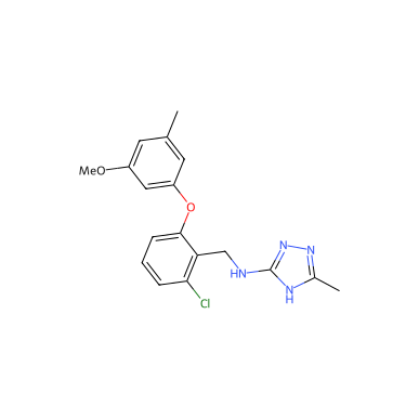 COc1cc(C)cc(Oc2cccc(Cl)c2CNc2nnc(C)[nH]2)c1